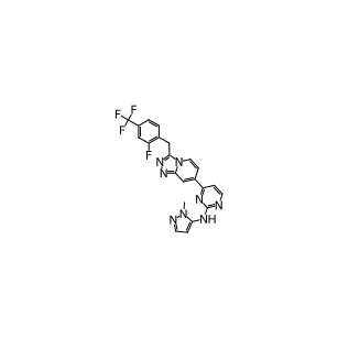 Cn1nccc1Nc1nccc(-c2ccn3c(Cc4ccc(C(F)(F)F)cc4F)nnc3c2)n1